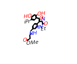 CCNC(=O)c1noc(-c2cc(C(C)C)c(O)cc2O)c1-c1ccc(CNCCC(=O)OC)cc1